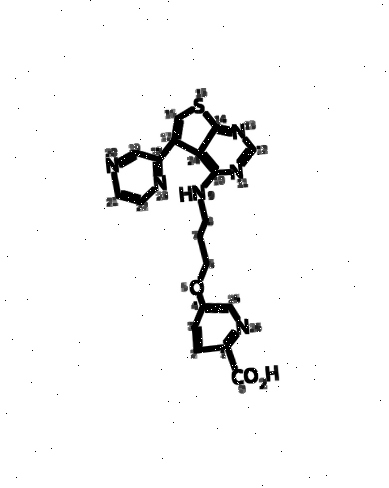 O=C(O)c1ccc(OCCCNc2ncnc3scc(-c4cnccn4)c23)cn1